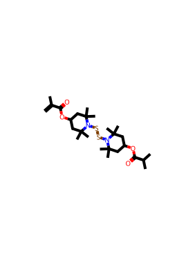 C=C(C)C(=O)OC1CC(C)(C)N(SSN2C(C)(C)CC(OC(=O)C(C)C)CC2(C)C)C(C)(C)C1